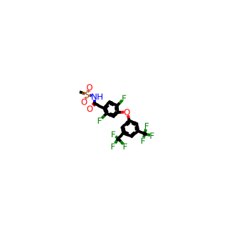 CS(=O)(=O)NC(=O)c1cc(F)c(Oc2cc(C(F)(F)F)cc(C(F)(F)F)c2)cc1F